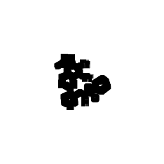 CCC1c2nnc(C)n2-c2cnc(-c3ccncc3CNS(=O)(=O)c3ccccc3)nc2N1C(C)C